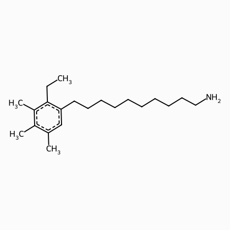 CCc1c(CCCCCCCCCCN)cc(C)c(C)c1C